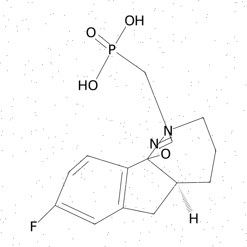 O=P(O)(O)CC1=NOC23c4ccc(F)cc4C[C@@H]2CCCN13